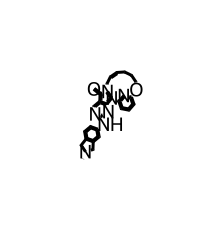 CN1Cc2ccc(Nc3ncc4c(=O)n5n(c4n3)-c3cccc(n3)OCCC/C=C\C5)cc2C1